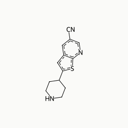 N#Cc1cnc2sc(C3CCNCC3)cc2c1